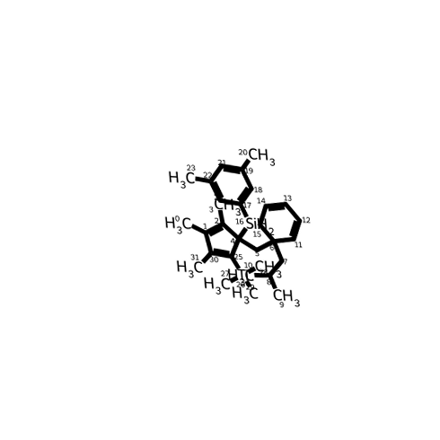 CC1=C(C)C(CC2(CC(C)C)C=CC=CC2)([SiH2]c2cc(C)cc(C)c2)[C]([Ti]([CH3])([CH3])[CH3])=C1C